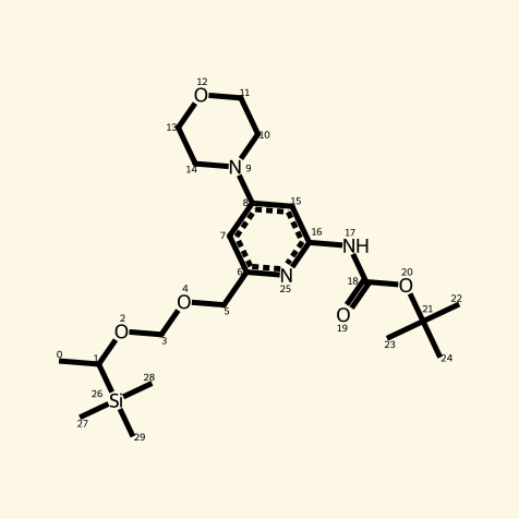 CC(OCOCc1cc(N2CCOCC2)cc(NC(=O)OC(C)(C)C)n1)[Si](C)(C)C